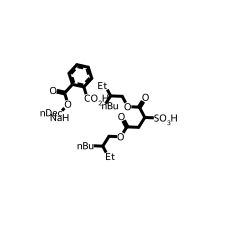 CCCCC(CC)COC(=O)CC(C(=O)OCC(CC)CCCC)S(=O)(=O)O.CCCCCCCCCCOC(=O)c1ccccc1C(=O)O.[NaH]